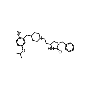 CC(C)Oc1ccc(Br)c(CC2CCN(CCC3CN(Cc4ccccc4)C(=O)N3)CC2)c1